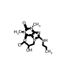 CCCNc1nc2c(c(=O)n(C)c(=O)n2C)n1CC(O)CCl